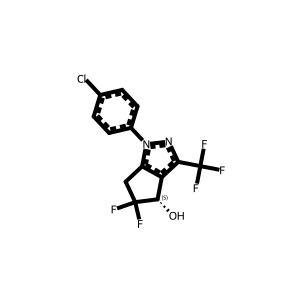 O[C@H]1c2c(C(F)(F)F)nn(-c3ccc(Cl)cc3)c2CC1(F)F